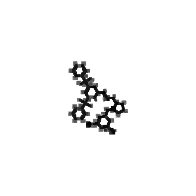 CC(C)(C1=CC(/C=N/CC2CCCN2CC2C=C(Br)C=C(Br)C2)CC(C(C)(C)c2ccccc2)=C1)c1ccccc1